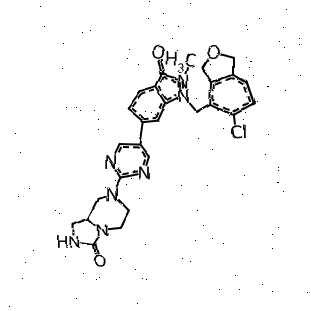 Cn1c(=O)c2ccc(-c3cnc(N4CCN5C(=O)NCC5C4)nc3)cc2n1Cc1c(Cl)ccc2c1COC2